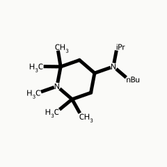 CCCCN(C(C)C)C1CC(C)(C)N(C)C(C)(C)C1